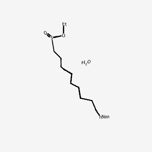 CCCCCCCCCCCCCCCCCCS(=O)OCC.O